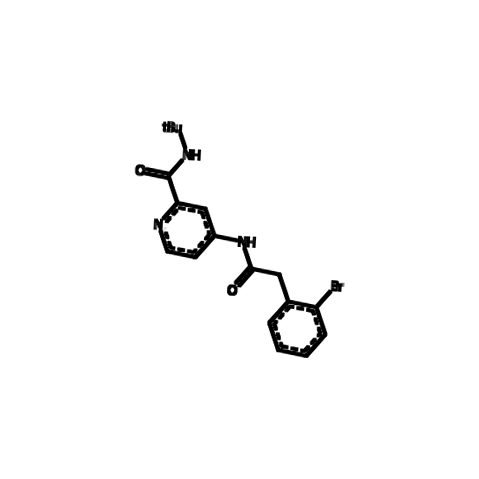 CC(C)(C)NC(=O)c1cc(NC(=O)Cc2ccccc2Br)ccn1